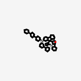 c1ccc(-c2ccc(-c3ccc(N(c4cccc(-c5ccccc5)c4)c4ccc5c(c4)C4(c6ccccc6-5)c5ccccc5-n5c6ccccc6c6cccc4c65)cc3)cc2)cc1